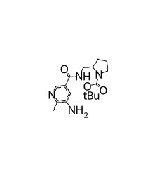 Cc1ncc(C(=O)NCC2CCCN2C(=O)OC(C)(C)C)cc1N